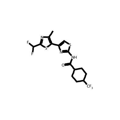 Cc1nc(C(F)F)sc1-c1csc(NC(=O)C2CCC(C(F)(F)F)CC2)n1